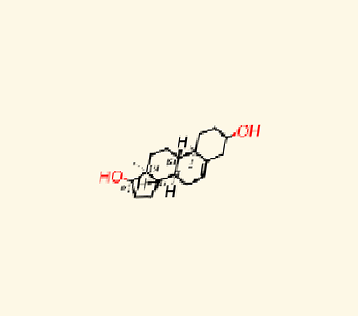 C[C@]12CC[C@H]3[C@@H](CC=C4CC(O)CC[C@@]43C)[C@@H]1CC[C@H]2O